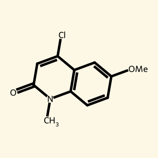 COc1ccc2c(c1)c(Cl)cc(=O)n2C